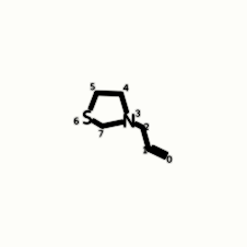 C=CCN1CCSC1